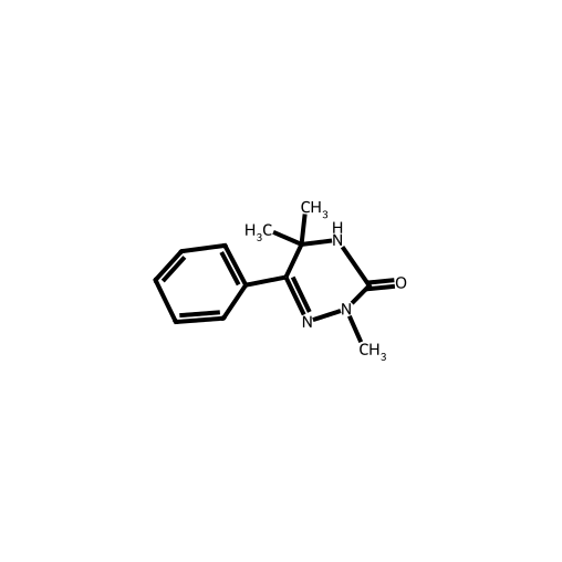 CN1N=C(c2ccccc2)C(C)(C)NC1=O